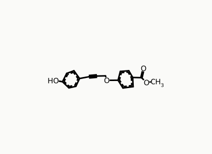 COC(=O)c1ccc(OCC#Cc2ccc(O)cc2)cc1